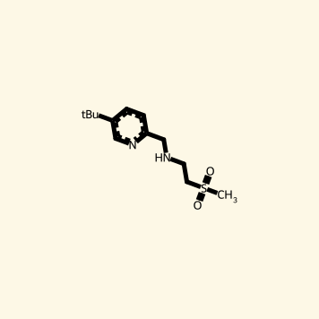 CC(C)(C)c1ccc(CNCCS(C)(=O)=O)nc1